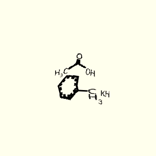 CC(=O)O.Cc1ccccc1.[KH]